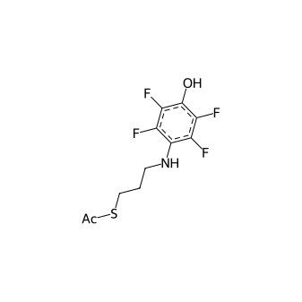 CC(=O)SCCCNc1c(F)c(F)c(O)c(F)c1F